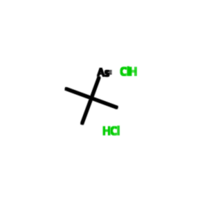 CC(C)(C)[As].Cl.Cl